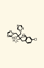 CC(C)(Cc1ccc(Cl)cc1Cl)C(O)(Cn1cncn1)Cn1cncn1